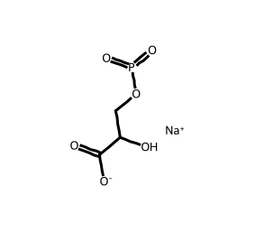 O=C([O-])C(O)COP(=O)=O.[Na+]